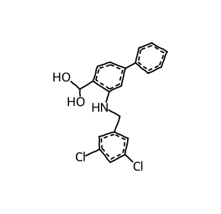 OC(O)c1ccc(-c2ccccc2)cc1NCc1cc(Cl)cc(Cl)c1